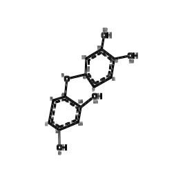 Oc1ccc(Oc2ccc(O)c(O)c2)c(O)c1